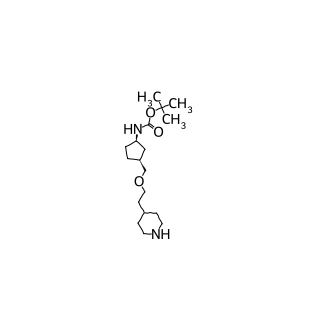 CC(C)(C)OC(=O)N[C@@H]1CC[C@H](COCCC2CCNCC2)C1